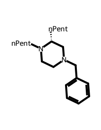 CCCCC[C@@H]1CN(Cc2ccccc2)CCN1CCCCC